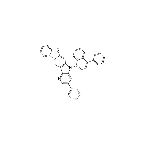 c1ccc(-c2cnc3c4cc5c(cc4n(-c4ccc(-c6ccccc6)c6ccccc46)c3c2)sc2ccccc25)cc1